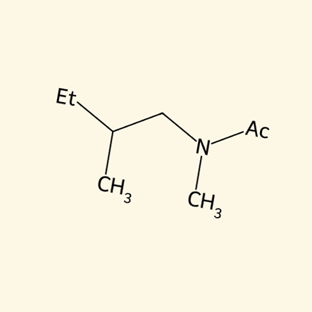 CCC(C)CN(C)C(C)=O